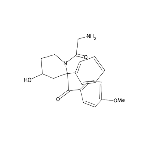 COc1ccc(C(=O)C2(c3ccccc3)CC(O)CCN2C(=O)CN)cc1